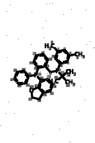 Cc1cc(C)cc(P(Cc2ccccc2P(c2ccccc2)c2cccc3c2OCC3)C(C)(C)C)c1